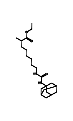 CCOC(=O)C(C)CCCCCCNC(=O)NC12CC3CC(CC(C3)C1)C2